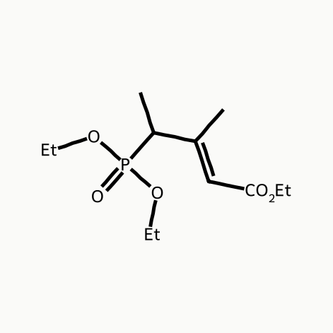 CCOC(=O)/C=C(\C)C(C)P(=O)(OCC)OCC